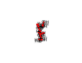 N[C@@H](CNC(=O)[C@H](Cc1ccccc1)NC(=O)[C@H](Cc1ccccc1)NC(=O)CNC(=O)CCCNC(=O)C(Cc1ccccc1)NC(=O)CCC(NC(=O)N[C@@H](CCC(=O)O)C(=O)O)C(=O)O)C(=O)N[C@@H](CC(=O)O)C(=O)N[C@@H](CS)C(=O)O